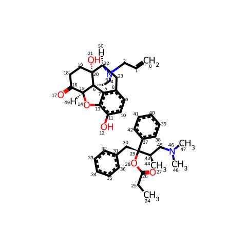 C=CCN1CC[C@]23c4c5ccc(O)c4O[C@H]2C(=O)CC[C@@]3(O)[C@H]1C5.CCC(=O)O[C@](Cc1ccccc1)(c1ccccc1)[C@H](C)CN(C)C